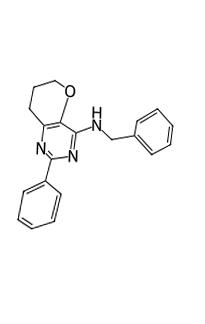 c1ccc(CNc2nc(-c3ccccc3)nc3c2OCCC3)cc1